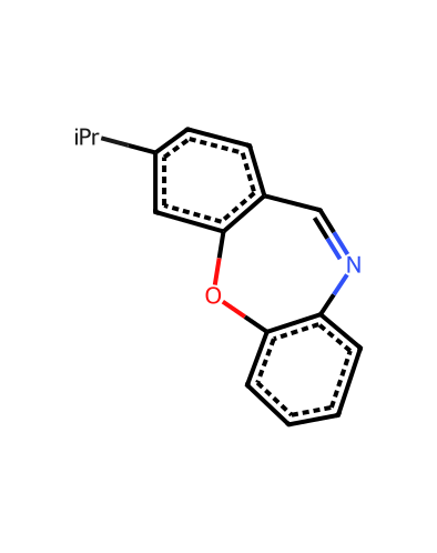 CC(C)c1ccc2c(c1)Oc1ccccc1N=C2